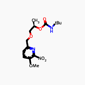 COc1ccc(COC[C@@H](C)OC(=O)NC(C)(C)C)nc1[N+](=O)[O-]